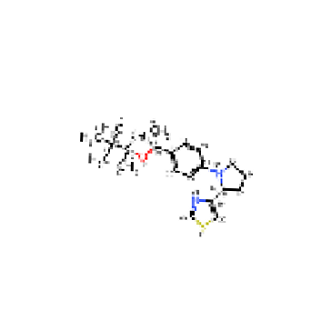 C[C@@H](O[Si](C)(C)C(C)(C)C)c1ccc(N2CCC[C@@H]2c2cscn2)cc1